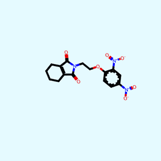 O=C1C2=C(CCCC2)C(=O)N1CCOc1ccc([N+](=O)[O-])cc1[N+](=O)[O-]